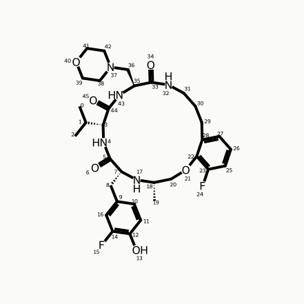 CC(C)[C@H]1NC(=O)[C@@H](Cc2ccc(O)c(F)c2)N[C@@H](C)COc2c(F)cccc2CCCNC(=O)[C@H](CN2CCOCC2)NC1=O